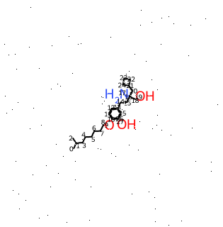 CC(C)CCCCCCOc1ccc(CCC(N)(CO)CC2CCC2)cc1O